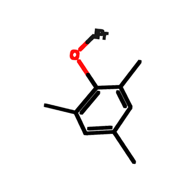 Cc1cc(C)c(OC(C)C)c(C)c1